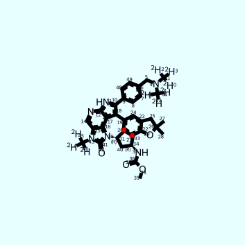 [2H]C([2H])([2H])N(Cc1ccc(-c2[nH]c3ncc4c(c3c2-c2ccc3c(c2)CC(C)(C)O3)n([C@@H]2CC[C@@H](NC(=O)OC)C2)c(=O)n4C([2H])([2H])[2H])cc1)C([2H])([2H])[2H]